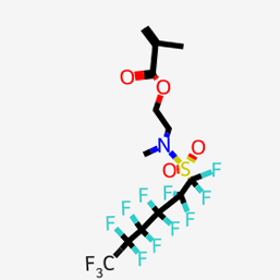 C=C(C)C(=O)OCCN(C)S(=O)(=O)C(F)(F)C(F)(F)C(F)(F)C(F)(F)C(F)(F)C(F)(F)F